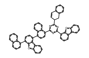 C1=CC(c2nc(-c3ccc(-c4ccc(-c5cccc6ccccc56)c5oc6ccccc6c45)c4ccccc34)nc(-c3cccc4c3oc3ccccc34)n2)Cc2ccccc21